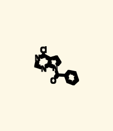 O=C(c1ccccc1)n1ccc2c(Cl)ncnc21